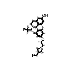 Oc1ccc2c(c1)CCN(CC(F)(F)F)[C@@H]2c1c(F)cc(OCCN2CC(CF)C2)cc1F